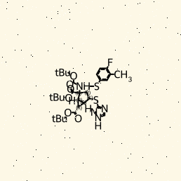 Cc1cc(SC[C@@H]2[C@@H](Sc3nc[nH]n3)[C@H]3[C@H](C(=O)OC(C)(C)C)[C@H]3[C@]2(NC(=O)OC(C)(C)C)C(=O)OC(C)(C)C)ccc1F